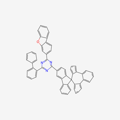 c1ccc(-c2ccccc2-c2nc(-c3ccc4c(c3)-c3ccccc3C43c4ccccc4-c4ccccc4-c4ccccc43)nc(-c3ccc4c(c3)oc3ccccc34)n2)cc1